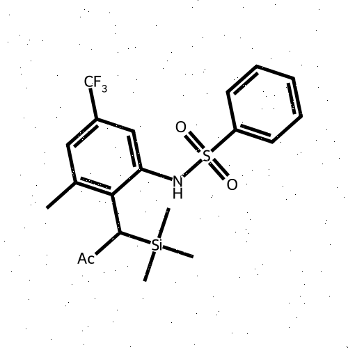 CC(=O)C(c1c(C)cc(C(F)(F)F)cc1NS(=O)(=O)c1ccccc1)[Si](C)(C)C